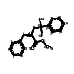 COC(=O)C(=Cc1ccccc1)CC(F)(F)c1ccccc1